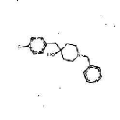 OC1(Cc2ccc(F)cc2)CCN(Cc2ccccc2)CC1